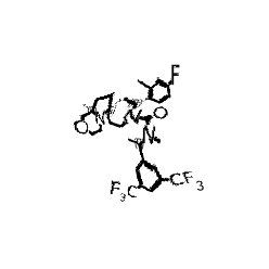 Cc1cc(F)ccc1[C@H]1C[C@@]2(CCN1C(=O)N(C)[C@H](C)c1cc(C(F)(F)F)cc(C(F)(F)F)c1)CC[C@]1(C)COCCN12